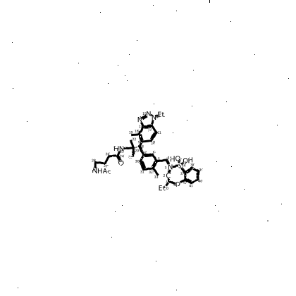 CCC1CN(Cc2cc([C@@H](c3ccc4c(nnn4CC)c3C)C(C)(C)NC(=O)CCCNC(C)=O)ccc2C)S(O)(O)c2ccccc2O1